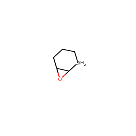 C1C[SiH2]C2OC2C1